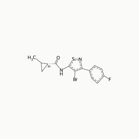 CC1C[C@H]1C(=O)Nc1snc(-c2ccc(F)cc2)c1Br